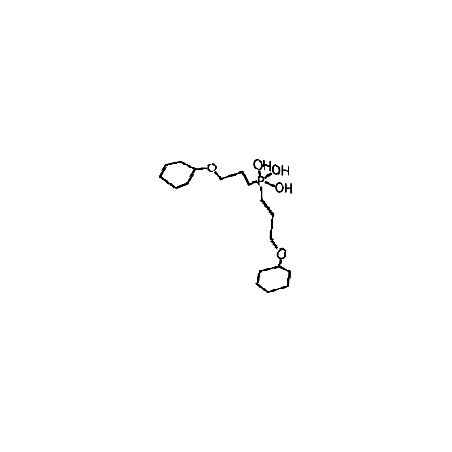 OP(O)(O)(CCCOC1CCCCC1)CCCOC1CCCCC1